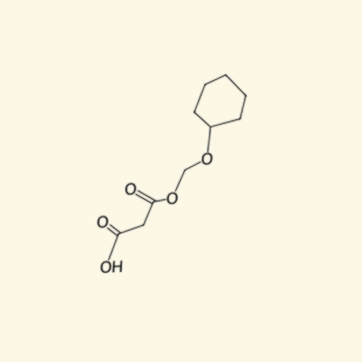 O=C(O)CC(=O)OCOC1CCCCC1